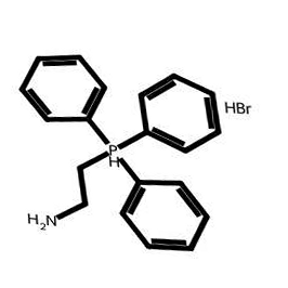 Br.NCC[PH](c1ccccc1)(c1ccccc1)c1ccccc1